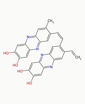 C=Cc1cc2nc3cc(O)c(O)cc3nc2cc1/C=C\c1cc2nc3cc(O)c(O)cc3nc2cc1C